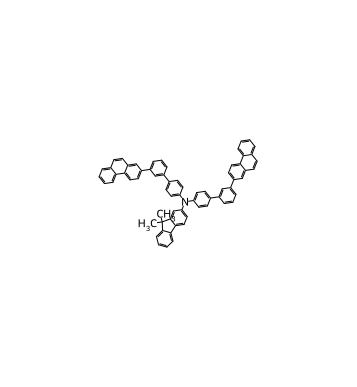 CC1(C)c2ccccc2-c2ccc(N(c3ccc(-c4cccc(-c5ccc6c(ccc7ccccc76)c5)c4)cc3)c3ccc(-c4cccc(-c5ccc6c(ccc7ccccc76)c5)c4)cc3)cc21